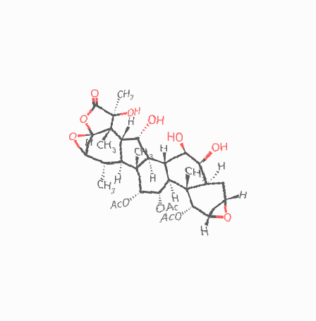 CC(=O)O[C@H]1[C@H]2[C@@H]([C@@H](O)[C@@H](O)[C@H]3C[C@@H]4O[C@@H]4[C@H](OC(C)=O)[C@]23C)[C@@H]2[C@@H](O)[C@@H]3[C@H]([C@H](C)[C@H]4O[C@]45OC(=O)[C@@](C)(O)[C@]35C)[C@@]2(C)[C@H]1OC(C)=O